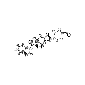 O=C[C@H]1CC[C@H](n2cc3cc(NC(=O)c4cnn5cccnc45)c(F)cc3n2)CC1